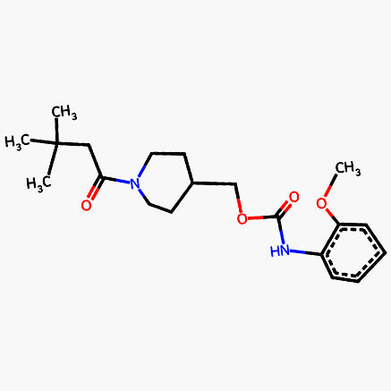 COc1ccccc1NC(=O)OCC1CCN(C(=O)CC(C)(C)C)CC1